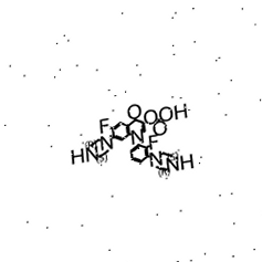 C[C@@H]1CN(c2cc3c(cc2F)c(=O)c(OC(=O)O)cn3-c2cccc(N3C[C@@H](C)N[C@@H](C)C3)c2F)C[C@H](C)N1